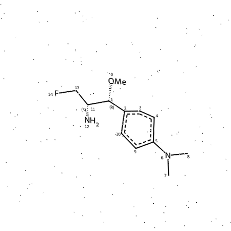 CO[C@H](c1ccc(N(C)C)cc1)[C@H](N)CF